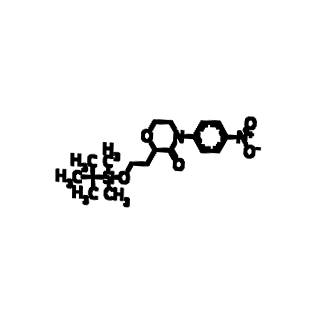 CC(C)(C)[Si](C)(C)OCCC1OCCN(c2ccc([N+](=O)[O-])cc2)C1=O